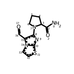 NC(=O)C1CCCN1c1nc2sccn2c1C=O